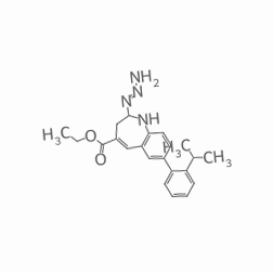 CCOC(=O)C1=Cc2cc(-c3ccccc3C(C)C)ccc2NC(N=NN)C1